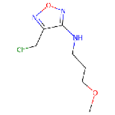 COCCCNc1nonc1CCl